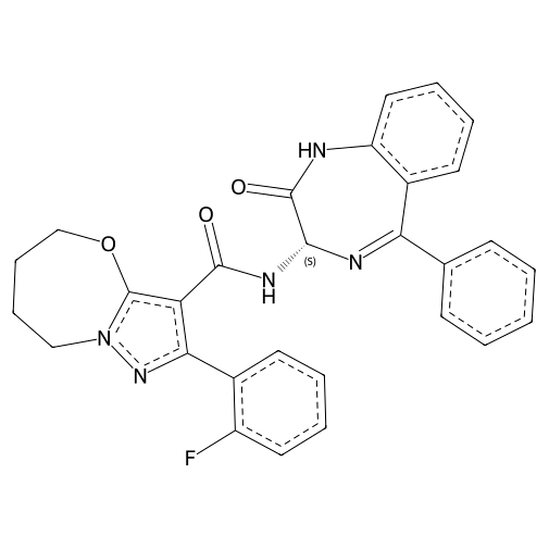 O=C(N[C@H]1N=C(c2ccccc2)c2ccccc2NC1=O)c1c(-c2ccccc2F)nn2c1OCCCC2